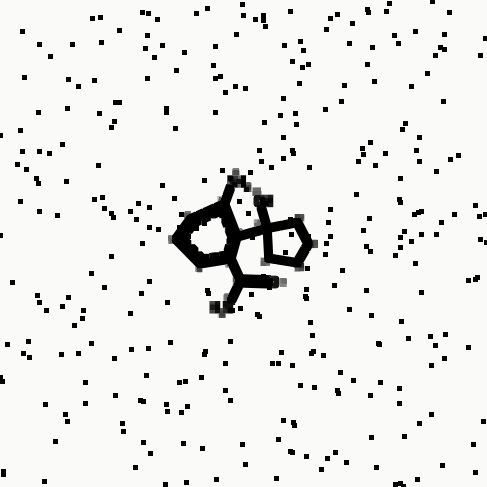 NC(=O)c1cccc(N)c1C1(O)CCCC1